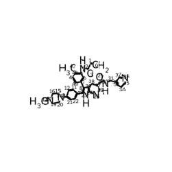 C=CC(=O)Nc1cc(-c2c(-c3ccc(N4CCN(C)CC4)cc3)[nH]c3ncc(C(=O)NCc4cccnc4)cc23)ccc1C